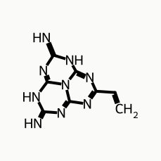 C=CC1=NC2=NC(=N)NC3=NC(=N)NC(=N1)N23